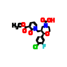 COC(=O)c1cccn(C[C@H]2CN(C(=O)O)CCO[C@H]2c2ccc(Cl)c(F)c2)c1=O